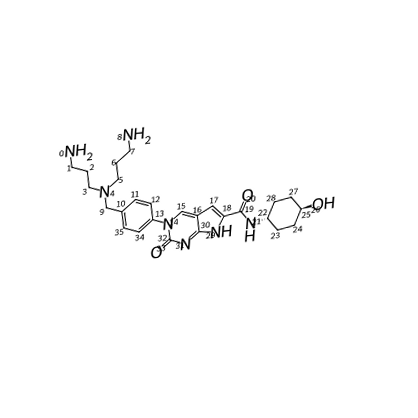 NCCCN(CCCN)Cc1ccc(-n2cc3cc(C(=O)N[C@H]4CC[C@H](O)CC4)[nH]c3nc2=O)cc1